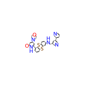 O=c1cc(N2CCOCC2)cc(-c2cccc3c2Sc2ccc(NCc4cncc(-c5cccnc5)c4)cc2S3)[nH]1